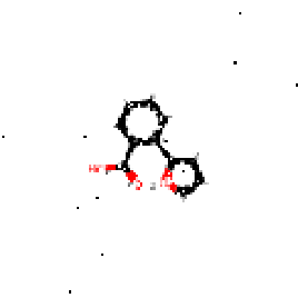 O=C(O)c1ccccc1-c1ccco1